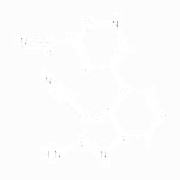 N#CC1=C2C(=CC=CC2c2cncc(C#N)c2)N=C1N